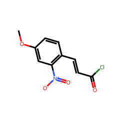 COc1ccc(C=CC(=O)Cl)c([N+](=O)[O-])c1